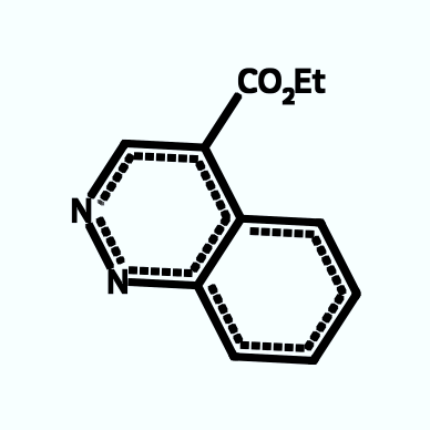 CCOC(=O)c1cnnc2ccccc12